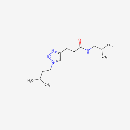 CC(C)CCn1cc(CCC(=O)NCC(C)C)nn1